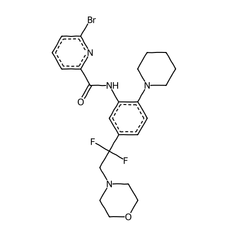 O=C(Nc1cc(C(F)(F)CN2CCOCC2)ccc1N1CCCCC1)c1cccc(Br)n1